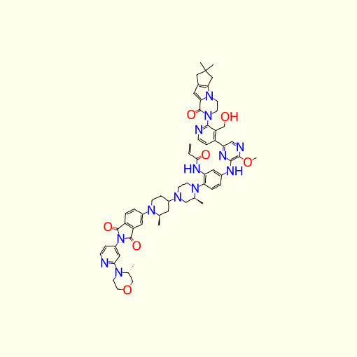 C=CC(=O)Nc1cc(Nc2nc(-c3ccnc(N4CCn5c(cc6c5CC(C)(C)C6)C4=O)c3CO)cnc2OC)ccc1N1CCN(C2CCN(c3ccc4c(c3)C(=O)N(c3ccnc(N5CCOC[C@H]5C)c3)C4=O)[C@H](C)C2)C[C@@H]1C